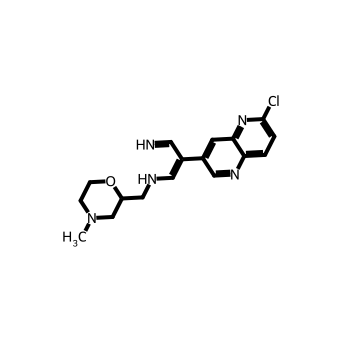 CN1CCOC(CN/C=C(\C=N)c2cnc3ccc(Cl)nc3c2)C1